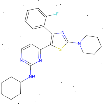 Fc1ccccc1-c1nc(N2CCCCC2)sc1-c1ccnc(NC2CCCCC2)n1